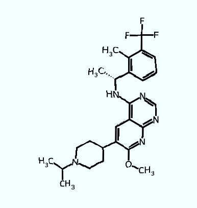 COc1nc2ncnc(N[C@H](C)c3cccc(C(F)(F)F)c3C)c2cc1C1CCN(C(C)C)CC1